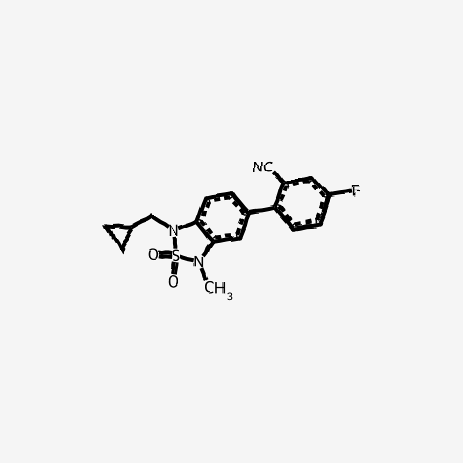 CN1c2cc(-c3ccc(F)cc3C#N)ccc2N(CC2CC2)S1(=O)=O